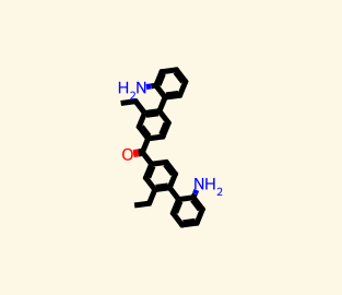 CCc1cc(C(=O)c2ccc(-c3ccccc3N)c(CC)c2)ccc1-c1ccccc1N